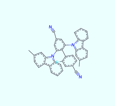 Cc1ccc2c3ccccc3n(-c3cc(C#N)cc(-n4c5ccccc5c5ccc(C)cc54)c3-c3ccc(C#N)cc3F)c2c1